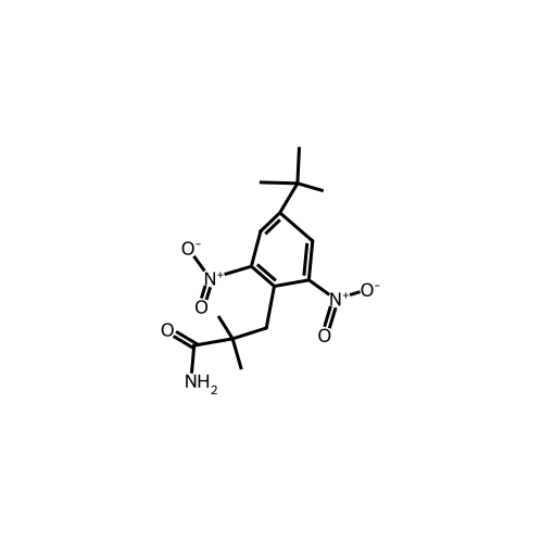 CC(C)(Cc1c([N+](=O)[O-])cc(C(C)(C)C)cc1[N+](=O)[O-])C(N)=O